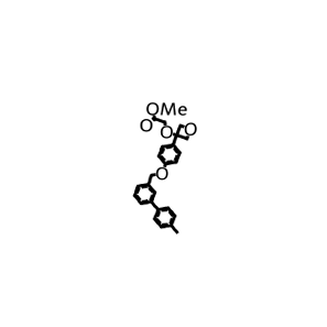 COC(=O)COC1(c2ccc(OCc3cccc(-c4ccc(C)cc4)c3)cc2)COC1